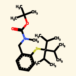 CC(C)[Si](Sc1ccccc1CN(C)C(=O)OC(C)(C)C)(C(C)C)C(C)C